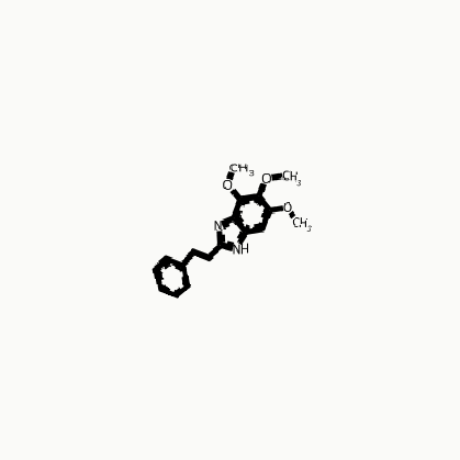 COc1cc2[nH]c(CCc3ccccc3)nc2c(OC)c1OC